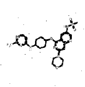 CS(=O)(=O)Nc1cnc2cc(N3CCOCC3)nc(OC3CCC(Nc4ccnc(C(F)(F)F)n4)CC3)c2c1